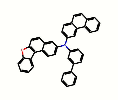 c1ccc(-c2cccc(N(c3ccc4c(ccc5oc6ccccc6c54)c3)c3ccc4ccc5ccccc5c4c3)c2)cc1